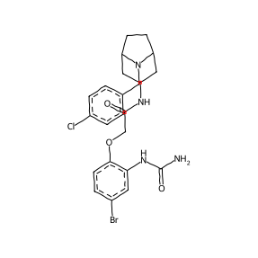 NC(=O)Nc1cc(Br)ccc1OCC(=O)NC1CC2CCC(C1)N2Cc1ccc(Cl)cc1